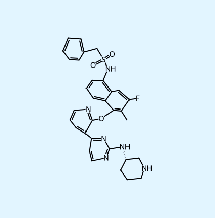 Cc1c(F)cc2c(NS(=O)(=O)Cc3ccccc3)cccc2c1Oc1ncccc1-c1ccnc(N[C@H]2CCCNC2)n1